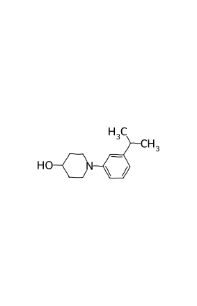 CC(C)c1cccc(N2CCC(O)CC2)c1